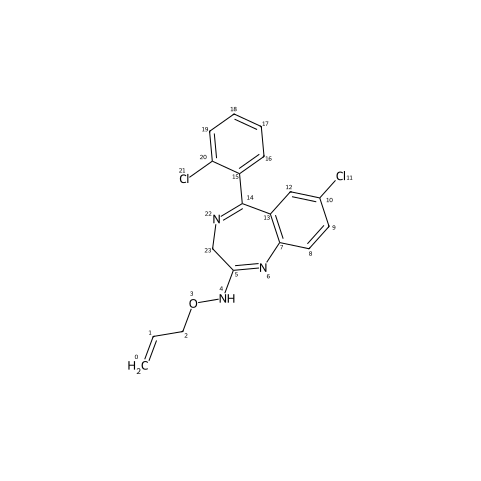 C=CCONC1=Nc2ccc(Cl)cc2C(c2ccccc2Cl)=NC1